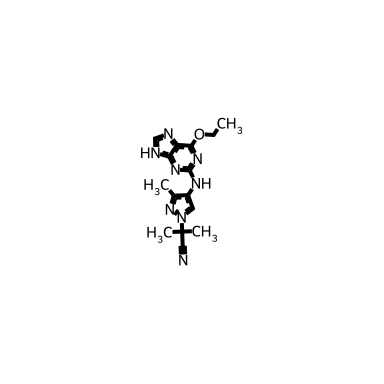 CCOc1nc(Nc2cn(C(C)(C)C#N)nc2C)nc2[nH]cnc12